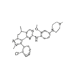 COc1cc(N2CCN(C)CC2)ccc1Nc1ncc2c(n1)-c1c(nn(C)c1-c1ccccc1Cl)CC2C